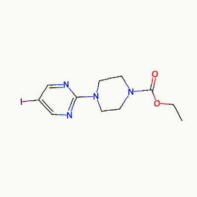 CCOC(=O)N1CCN(c2ncc(I)cn2)CC1